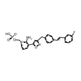 Nc1c(-c2cc(Cc3ccc(/C=C/c4cccc(F)c4)cc3)no2)ccc[n+]1COP(=O)([O-])O